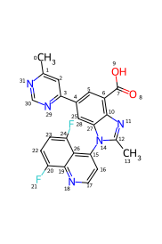 Cc1cc(-c2cc(C(=O)O)c3nc(C)n(-c4ccnc5c(F)ccc(F)c45)c3c2)ncn1